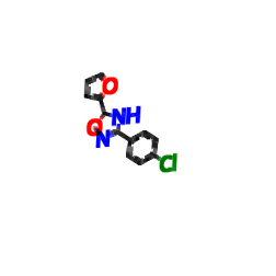 Clc1ccc(C2=NOC(c3ccco3)N2)cc1